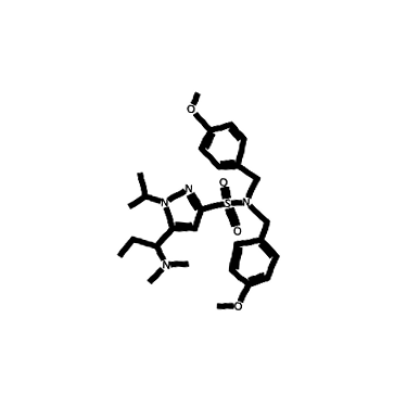 CCC(c1cc(S(=O)(=O)N(Cc2ccc(OC)cc2)Cc2ccc(OC)cc2)nn1C(C)C)N(C)C